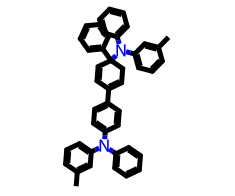 Cc1cccc(N(c2ccccc2)c2ccc(C3=CCC(c4ccccc4)(N(c4ccccc4)c4cccc(C)c4)C=C3)cc2)c1